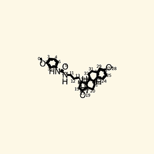 COc1cccc(NC(=O)NCCC[C@@H]2CC(=O)[C@@]3(C)CC[C@@H]4c5ccc(OC)cc5CC[C@H]4[C@H]23)c1